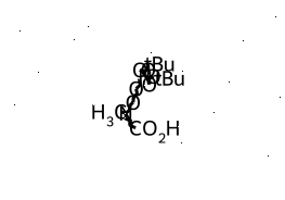 CN(C/C=C/C(=O)O)CCOCCOCCN(C(=O)OC(C)(C)C)C(=O)OC(C)(C)C